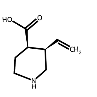 C=C[C@H]1CNCC[C@H]1C(=O)O